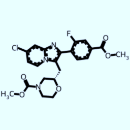 COC(=O)c1ccc(-c2nc3cc(Cl)ccn3c2C[C@H]2CN(C(=O)OC)CCO2)c(F)c1